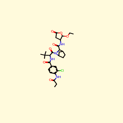 CCOC1OC(=O)CC1NC(=O)C1C2CCC(C2)N1C(=O)C(NC(=O)c1ccc(NC(=O)CC)c(Cl)c1)C(C)(C)C